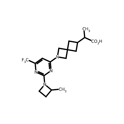 CC(C(=O)O)C1CC2(C1)CN(c1cc(C(F)(F)F)nc(N3CCC3C)n1)C2